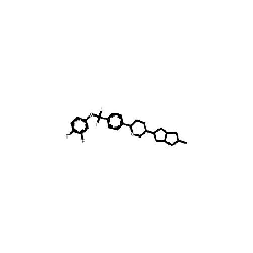 CC1CC2CC(C3CCC(c4ccc(C(F)(F)Oc5ccc(F)c(F)c5)cc4)OC3)CC2C1